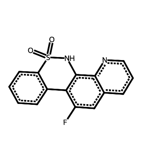 O=S1(=O)Nc2c(c(F)cc3cccnc23)-c2ccccc21